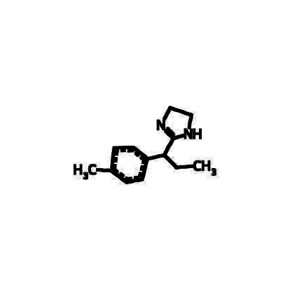 CCC(C1=NCCN1)c1ccc(C)cc1